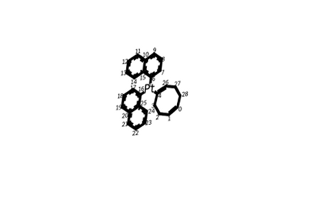 C1=CCC[C]([Pt]([c]2cccc3ccccc23)[c]2cccc3ccccc23)=CCC1